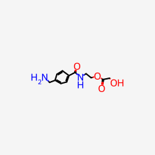 NCc1ccc(C(=O)NCCOC(=O)CO)cc1